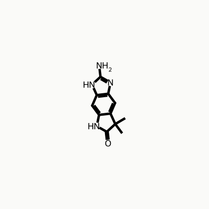 CC1(C)C(=O)Nc2cc3[nH]c(N)nc3cc21